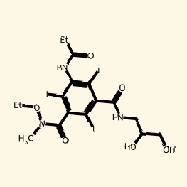 CCON(C)C(=O)c1c(I)c(NC(=O)CC)c(I)c(C(=O)NCC(O)CO)c1I